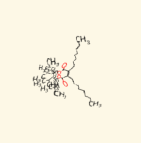 CCCCCCCC/C(C(=O)[O][SnH]([CH2]C(C)C)[CH2]C(C)C)=C(\CCCCCCCC)C(=O)[O][SnH]([CH2]C(C)C)[CH2]C(C)C